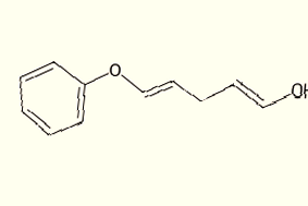 OC=CCC=COc1ccccc1